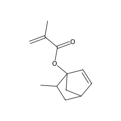 C=C(C)C(=O)OC12C=CC(CC1C)C2